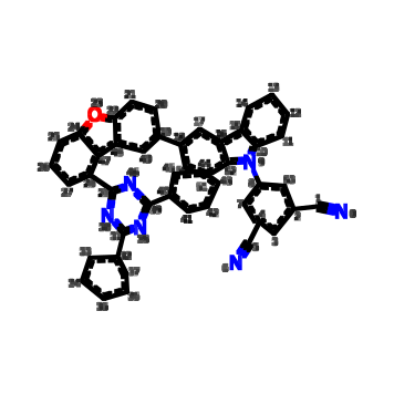 N#Cc1cc(C#N)cc(-n2c3ccccc3c3cc(-c4ccc5oc6cccc(-c7nc(-c8ccccc8)nc(-c8ccccc8)n7)c6c5c4)ccc32)c1